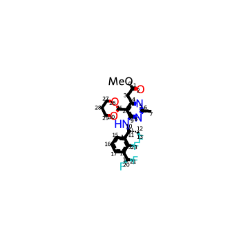 COC(=O)Cc1nc(C)nc(N[C@H](CF)c2cccc(C(F)F)c2F)c1C1OCCCO1